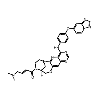 CN(C)C/C=C/C(=O)N1CCN2C[C@H]1COc1cc3ncnc(Nc4ccc(Oc5ccn6ncnc6c5)cc4)c3nc12